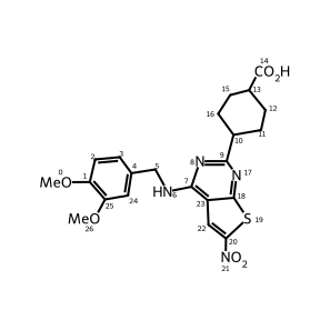 COc1ccc(CNc2nc(C3CCC(C(=O)O)CC3)nc3sc([N+](=O)[O-])cc23)cc1OC